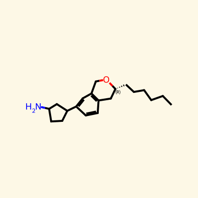 CCCCCC[C@@H]1Cc2ccc(C3CCC(N)C3)cc2CO1